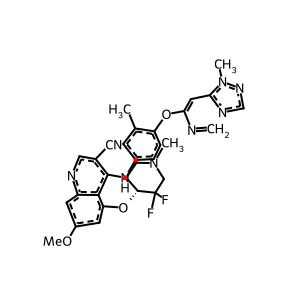 C=N/C(=C\c1ncnn1C)Oc1ccc(Nc2c(C#N)cnc3cc(OC)cc(O[C@@H]4CCN(C)CC4(F)F)c23)cc1C